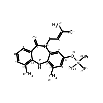 CC(C)=CCN1C(=O)c2cccc(C)c2Nc2c(C)cc(O[Si](C(C)C)(C(C)C)C(C)C)cc21